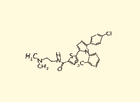 CN(C)CCNC(=O)c1ccc(-c2ccc(-c3ccc(Cl)cc3)n2-c2ccccc2C(F)(F)F)s1